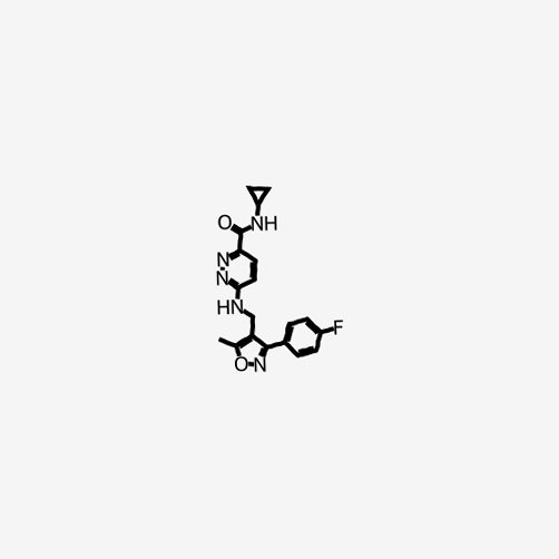 Cc1onc(-c2ccc(F)cc2)c1CNc1ccc(C(=O)NC2CC2)nn1